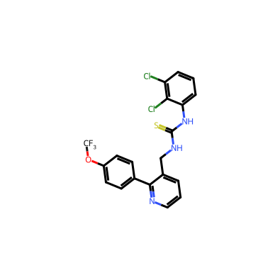 FC(F)(F)Oc1ccc(-c2ncccc2CNC(=S)Nc2cccc(Cl)c2Cl)cc1